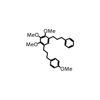 COc1ccc(CCCc2[c]c(CCCc3ccccc3)c(OC)c(OC)c2OC)cc1